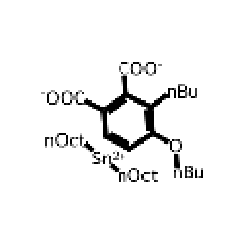 CCCCCCC[CH2][Sn+2][CH2]CCCCCCC.CCCCOc1ccc(C(=O)[O-])c(C(=O)[O-])c1CCCC